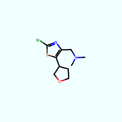 CN(C)Cc1nc(Br)sc1C1CCOC1